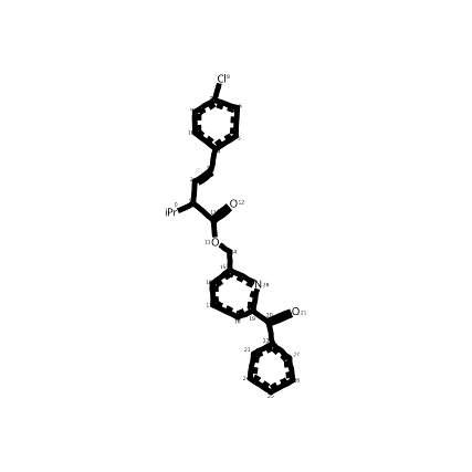 CC(C)C(/C=C/c1ccc(Cl)cc1)C(=O)OCc1cccc(C(=O)c2ccccc2)n1